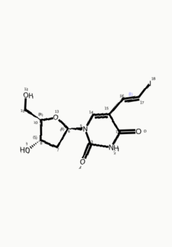 O=c1[nH]c(=O)n([C@H]2C[C@H](O)[C@@H](CO)O2)cc1/C=C/I